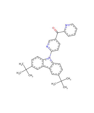 CC(C)(C)c1ccc2c(c1)c1cc(C(C)(C)C)ccc1n2-c1ccc(C(=O)c2ccccn2)cn1